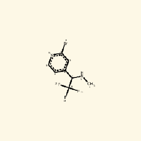 CNC(c1ccnc(Br)c1)C(F)(F)F